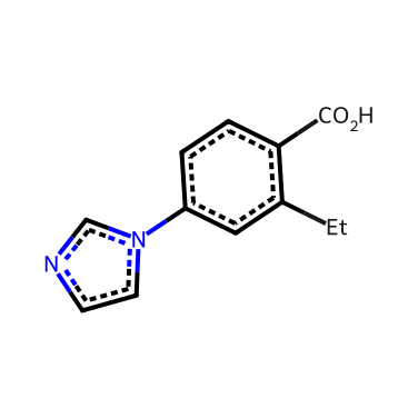 CCc1cc(-n2ccnc2)ccc1C(=O)O